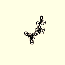 O=C(Nc1ccc(C(=O)NCCN2CCCCC2)cc1)Nc1ccc(-c2nc(C3CCOCC3)nc(N3CCOCC3)n2)cc1